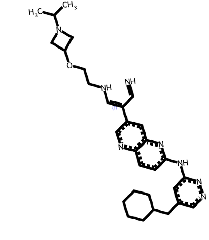 CC(C)N1CC(OCCN/C=C(\C=N)c2cnc3ccc(Nc4cc(CC5CCCCC5)cnn4)nc3c2)C1